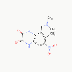 Cc1c([N+](=O)[O-])cc2c(c1CN(C)C)[N]C(=O)C(=O)N2